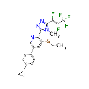 CCSc1cc(-c2ccc(C3CC3)cc2)cnc1-c1nnc(C(F)=C(F)C(F)(F)F)n1C